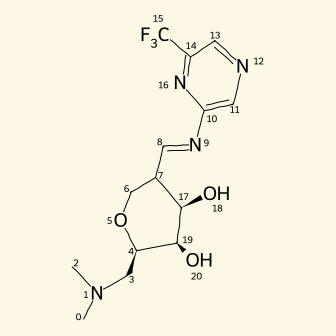 CN(C)C[C@H]1OCC(/C=N/c2cncc(C(F)(F)F)n2)[C@@H](O)[C@H]1O